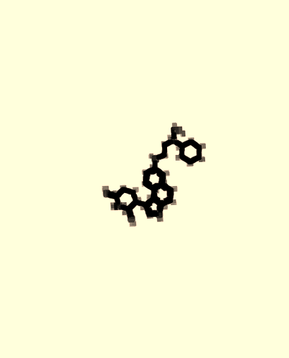 CN(CCOc1ccc2c(ccc3occ(C4CCC(=O)NC4=O)c32)c1)C1CCCCC1